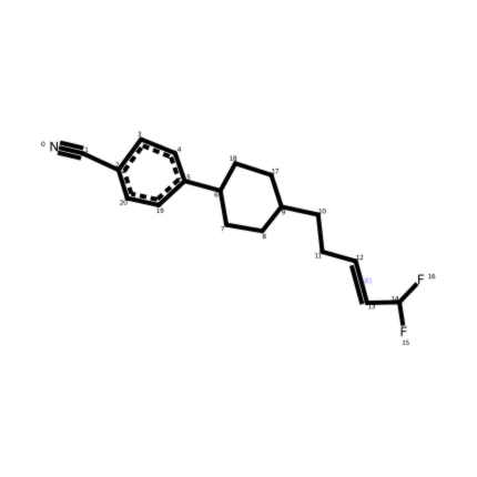 N#Cc1ccc(C2CCC(CC/C=C/C(F)F)CC2)cc1